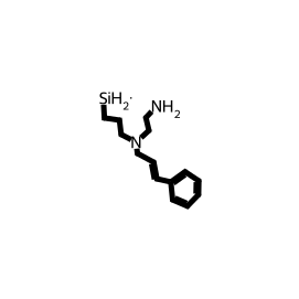 NCCN(CC=Cc1ccccc1)CCC[SiH2]